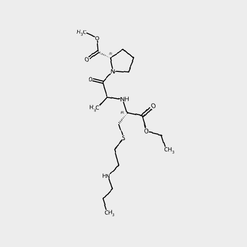 CCCNCCSC[C@H](NC(C)C(=O)N1CCC[C@H]1C(=O)OC)C(=O)OCC